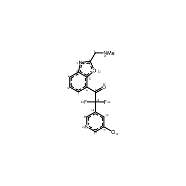 CNCc1nc2cccc(C(=O)C(F)(F)c3cncc(Cl)c3)c2o1